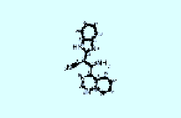 N#C/C(=C(/N)c1ncnc2ccccc12)c1nc2ccccc2[nH]1